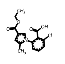 CCOC(=O)c1cc(C)n(-c2cccc(Cl)c2C(=O)O)c1